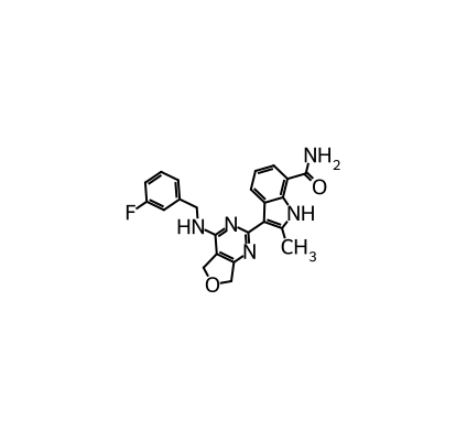 Cc1[nH]c2c(C(N)=O)cccc2c1-c1nc2c(c(NCc3cccc(F)c3)n1)COC2